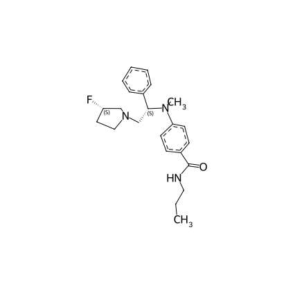 CCCNC(=O)c1ccc(N(C)[C@H](CN2CC[C@H](F)C2)c2ccccc2)cc1